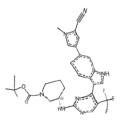 Cn1cc(-c2ccc3c(-c4nc(N[C@H]5CCCN(C(=O)OC(C)(C)C)C5)ncc4C(F)(F)F)c[nH]c3c2)cc1C#N